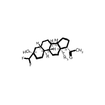 CC(=O)[C@H]1CC[C@H]2[C@@H]3CC[C@H]4C[C@](O)(C(F)F)CC[C@@H]4[C@H]3CC[C@]12C